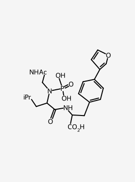 CC(=O)NCN(C(CC(C)C)C(=O)NC(Cc1ccc(-c2ccoc2)cc1)C(=O)O)P(=O)(O)O